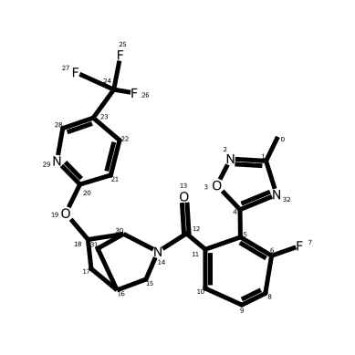 Cc1noc(-c2c(F)cccc2C(=O)N2CC3CC(Oc4ccc(C(F)(F)F)cn4)C2C3)n1